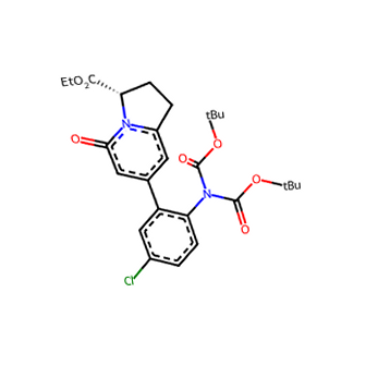 CCOC(=O)[C@@H]1CCc2cc(-c3cc(Cl)ccc3N(C(=O)OC(C)(C)C)C(=O)OC(C)(C)C)cc(=O)n21